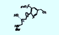 CCOC(=O)c1cc(CO)cnc1OC[C@@H](O)CNC(C)(C)C